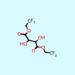 O=C(OCC(F)(F)F)C(O)C(O)C(=O)OCC(F)(F)F